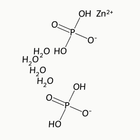 O.O.O.O.O=P([O-])(O)O.O=P([O-])(O)O.[Zn+2]